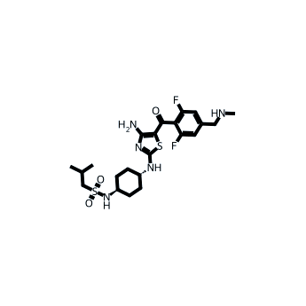 CNCc1cc(F)c(C(=O)c2sc(N[C@H]3CC[C@H](NS(=O)(=O)CC(C)C)CC3)nc2N)c(F)c1